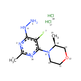 Cc1nc(NN)c(F)c(N2CCOC[C@@H]2C)n1.Cl.Cl